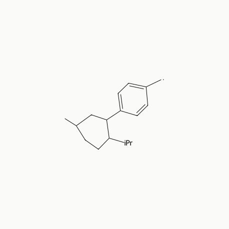 [CH2]c1ccc(C2CC(C)CCC2C(C)C)cc1